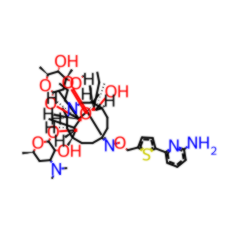 CCCN1C[C@H](C)[C@H]2CC/C(=N\OCc3ccc(-c4cccc(N)n4)s3)CC[C@](C)(C[C@H]1C)[C@H](O[C@@H]1O[C@H](C)C[C@H](N(C)C)[C@H]1O)[C@@H](C)[C@H](O[C@H]1C[C@@](C)(OC)[C@@H](O)[C@H](C)O1)[C@@H](C)C(=O)O[C@H](CC)[C@@]2(C)O